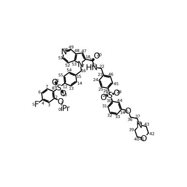 CC(C)Oc1cc(F)ccc1S(=O)(=O)c1ccc(Cn2c(C(=O)NCc3ccc(S(=O)(=O)c4cccc(OCCN5CCOCC5)c4)cc3)cc3cnccc32)cc1